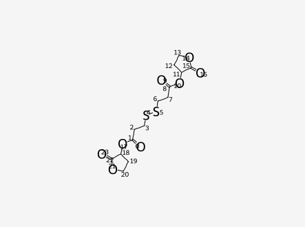 O=C(CCSSCCC(=O)OC1CCOC1=O)OC1CCOC1=O